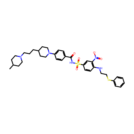 CC1CCN(CCCC2CCN(c3ccc(C(=O)NS(=O)(=O)c4ccc(NCCSc5ccccc5)c([N+](=O)[O-])c4)cc3)CC2)CC1